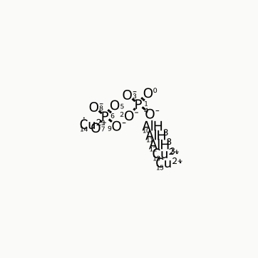 O=P([O-])([O-])[O-].O=P([O-])([O-])[O-].[AlH3].[AlH3].[AlH3].[Cu+2].[Cu+2].[Cu+2]